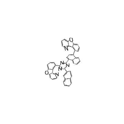 c1ccc2cc(-c3nc(-c4ccc(-c5cccc6oc7cccnc7c56)c5ccccc45)nc(-c4cccc5oc6cccnc6c45)n3)ccc2c1